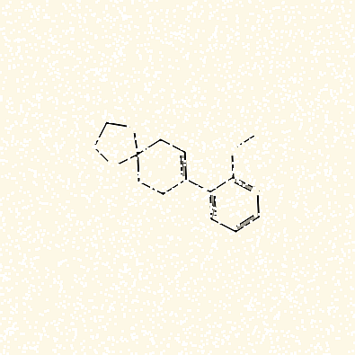 COc1ncccc1C1=CCC2(CC1)OCCO2